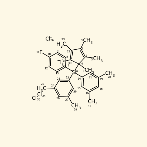 CC1=C(C)C(C)([Si](c2ccc(F)cc2)(c2cc(C)cc(C)c2)c2cc(C)cc(C)c2)[C]([Ti+3])=C1C.[Cl-].[Cl-].[Cl-]